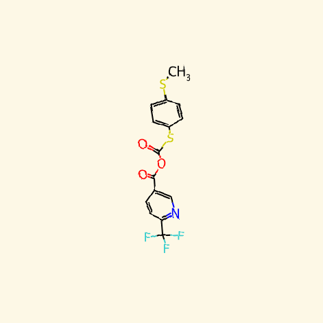 CSc1ccc(SC(=O)OC(=O)c2ccc(C(F)(F)F)nc2)cc1